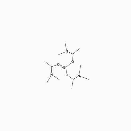 CC(O[SiH](OC(C)N(C)C)OC(C)N(C)C)N(C)C